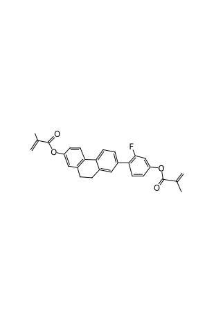 C=C(C)C(=O)Oc1ccc(-c2ccc3c(c2)CCc2cc(OC(=O)C(=C)C)ccc2-3)c(F)c1